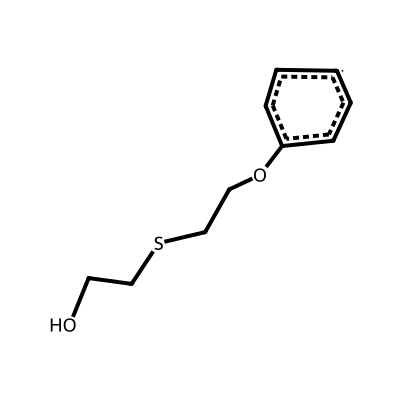 OCCSCCOc1cc[c]cc1